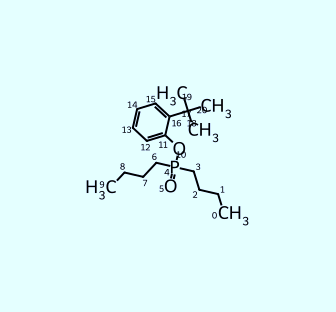 CCCCP(=O)(CCCC)Oc1ccccc1C(C)(C)C